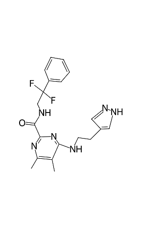 Cc1nc(C(=O)NCC(F)(F)c2ccccc2)nc(NCCc2cn[nH]c2)c1C